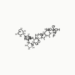 CC(C)(C)C(NC(=O)c1cc2cc(C(F)(F)P(=O)(O)O)ccc2[nH]1)C(=O)N1CCC[C@H]1c1nc(-c2ccccc2)cs1